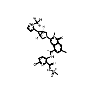 [2H]C([2H])([2H])n1nccc1C1[C@H]2CN(c3nc4c([C@@H](C)Nc5ccc(Cl)nc5C(=O)NS(C)(=O)=O)cc(C)cc4c(=O)n3C)C[C@@H]12